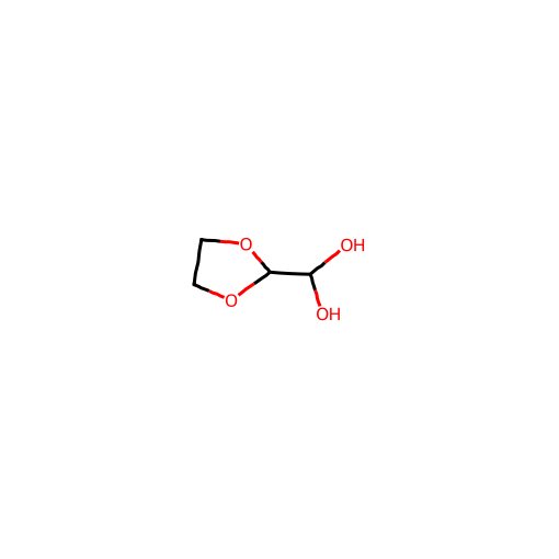 OC(O)C1OCCO1